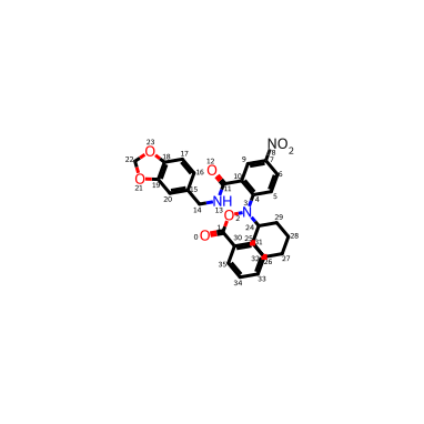 O=C(ON(c1ccc([N+](=O)[O-])cc1C(=O)NCc1ccc2c(c1)OCO2)C1CCCCC1)c1ccccc1